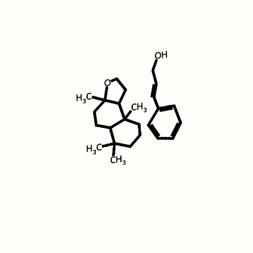 CC1(C)CCCC2(C)C1CCC1(C)OCCC12.OC/C=C/c1ccccc1